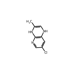 CC1=CNc2cc(Cl)cnc2N1